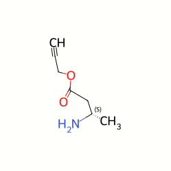 C#CCOC(=O)C[C@H](C)N